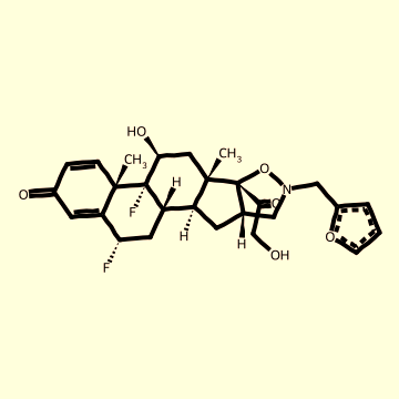 C[C@]12C=CC(=O)C=C1[C@@H](F)C[C@H]1[C@@H]3C[C@H]4CN(Cc5ccco5)O[C@@]4(C(=O)CO)[C@@]3(C)C[C@H](O)[C@@]12F